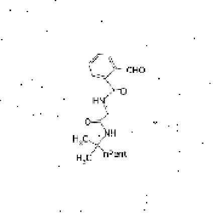 CCCCCC(C)(C)NC(=O)CNC(=O)c1ccccc1C=O